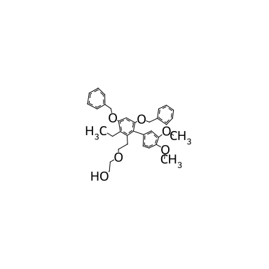 CCc1c(OCc2ccccc2)cc(OCc2ccccc2)c(-c2ccc(OC)c(OC)c2)c1CCOCCO